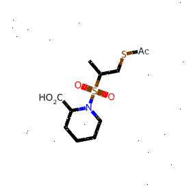 CC(=O)SCC(C)S(=O)(=O)N1CCCCC1C(=O)O